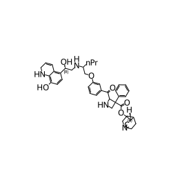 CCCC(COc1cccc(C(=O)C2NCC2(C(=O)O[C@H]2CN3CCC2CC3)c2ccccc2)c1)NC[C@H](O)c1ccc(O)c2c1C=CCN2